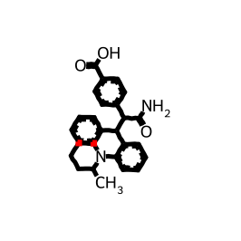 CC1CCCCN1c1ccccc1C(c1ccccc1)C(C(N)=O)c1ccc(C(=O)O)cc1